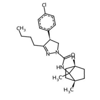 CCCCC1=NN(C(=O)NC2(C)[C@H]3CC[C@]2(C)CC3)C[C@@H]1c1ccc(Cl)cc1